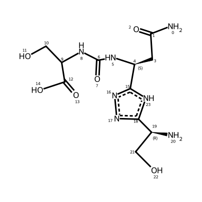 NC(=O)C[C@H](NC(=O)NC(CO)C(=O)O)c1nnc([C@@H](N)CO)[nH]1